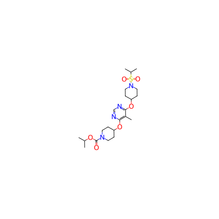 Cc1c(OC2CCN(C(=O)OC(C)C)CC2)ncnc1OC1CCN(S(=O)(=O)C(C)C)CC1